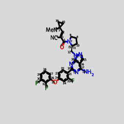 CNC1(C=C(C#N)C(=O)N2CCC[C@H]2Cn2ncc3c(N)nc(-c4ccc(Oc5cccc(F)c5F)cc4F)nc32)CC1